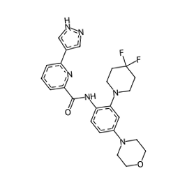 O=C(Nc1ccc(N2CCOCC2)cc1N1CCC(F)(F)CC1)c1cccc(-c2cn[nH]c2)n1